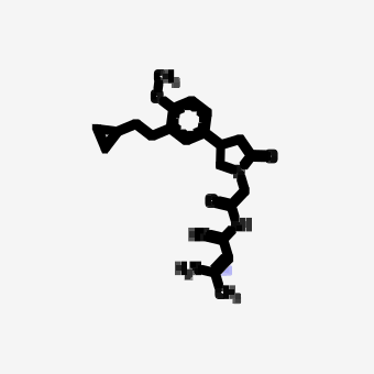 COc1ccc(C2CC(=O)N(CC(=O)NC(=N)/C=C(/C)N)C2)cc1CCC1CC1